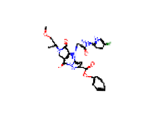 COCC(C)N1Cc2c(n(CC(=O)Nc3ccc(F)cn3)c3cc(C(=O)Oc4ccccc4)nn3c2=O)C1=O